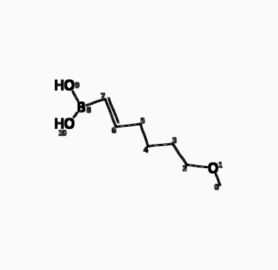 COCCCC/C=C/B(O)O